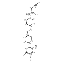 Cc1cc(N2CCN(CC[C@H]3CC[C@H](NC(=O)CC#N)CC3)CC2)c(Cl)cc1F